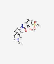 CCOc1c(C(=O)Nc2ccc3c(c2)CN(C)CC3)cccc1S(C)(=O)=O